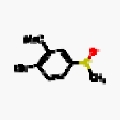 COc1cc([S+](C)[O-])ccc1C(C)(C)C